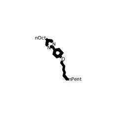 CCCCC/C=C\CCCCOc1ccc(-c2ncc(CCCCCCCC)cn2)cc1